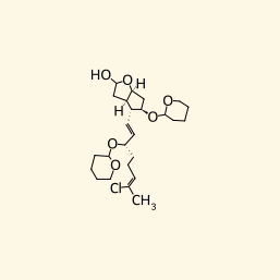 C/C(Cl)=C/CC[C@@H](/C=C/[C@@H]1[C@H]2CC(O)O[C@H]2C[C@H]1OC1CCCCO1)OC1CCCCO1